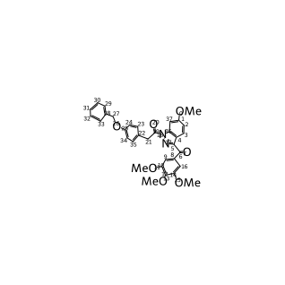 COc1ccc2c(C(=O)c3cc(OC)c(OC)c(OC)c3)nn(C(=O)Cc3ccc(OCc4ccccc4)cc3)c2c1